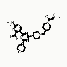 C=CC(=O)N1CCC(CN2CCN(c3nc(-c4cnc(N)nc4C(F)F)nc(N4CCOCC4)n3)CC2)CC1